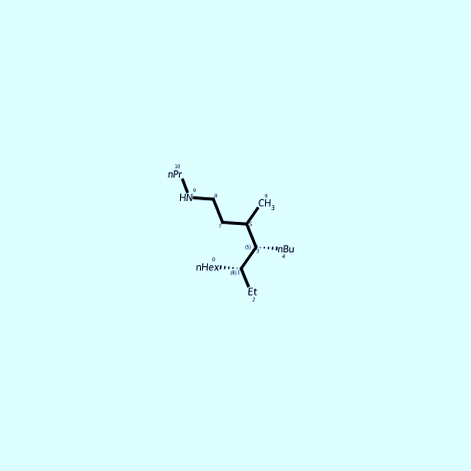 CCCCCC[C@@H](CC)[C@@H](CCCC)C(C)CCNCCC